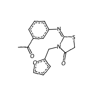 CC(=O)c1cccc(N=C2SCC(=O)N2Cc2ccco2)c1